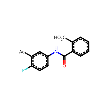 CC(=O)c1cc(NC(=O)c2ccccc2C(=O)O)ccc1F